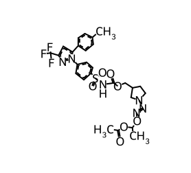 CC(=O)OC(C)ON=NN1CCC(COC(=O)NS(=O)(=O)c2ccc(-n3nc(C(F)(F)F)cc3-c3ccc(C)cc3)cc2)C1